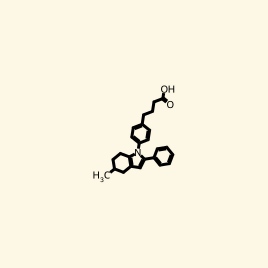 CC1CCc2c(cc(-c3ccccc3)n2-c2ccc(CCCC(=O)O)cc2)C1